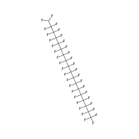 FC(F)C(F)(F)C(F)(F)C(F)(F)C(F)(F)C(F)(F)C(F)(F)C(F)(F)C(F)(F)C(F)(F)C(F)(F)C(F)(F)C(F)(F)C(F)(F)C(F)(F)C(F)(F)C(F)(F)C(F)(F)F